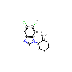 CC(=O)OC1CCCCC1n1cnc2cc(Cl)c(Cl)cc21